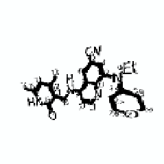 CCN(c1cc(C#N)cc2c(NCc3c(C)cc(C)[nH]c3=O)ccnc12)C1CCOCC1